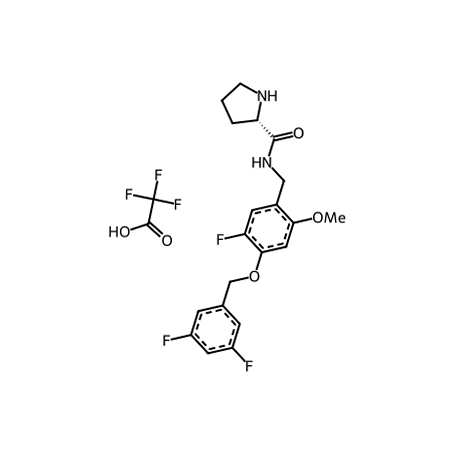 COc1cc(OCc2cc(F)cc(F)c2)c(F)cc1CNC(=O)[C@@H]1CCCN1.O=C(O)C(F)(F)F